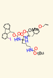 C=CCOc1ccc(C[C@H](NC(=O)[C@@H](CCCCNC(=O)OC(C)(C)C)NC(=O)OCC2c3ccccc3-c3cccc(I)c32)C(=O)OC)cc1